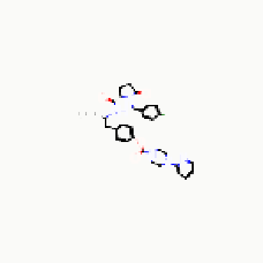 O=C(O)[C@H](Cc1ccc(OC(=O)N2CCN(c3ccccn3)CC2)cc1)NC(=O)[C@@H]1CCC(=O)N1Cc1ccc(F)cc1